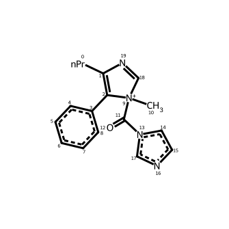 CCCC1=C(c2ccccc2)[N+](C)(C(=O)n2ccnc2)C=N1